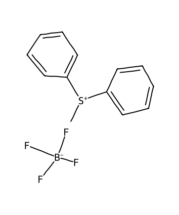 C[S+](c1ccccc1)c1ccccc1.F[B-](F)(F)F